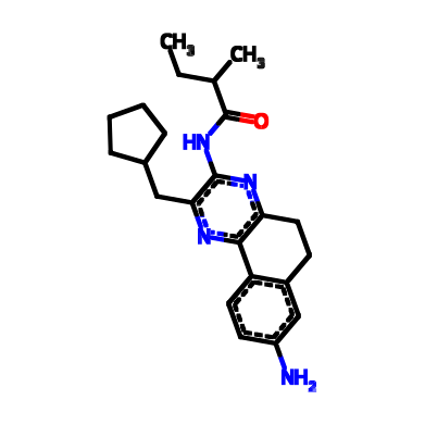 CCC(C)C(=O)Nc1nc2c(nc1CC1CCCC1)-c1ccc(N)cc1CC2